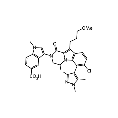 COCCCc1c2n(c3c(-c4c(C)nn(C)c4C)c(Cl)ccc13)C(C)CN(c1cn(C)c3ccc(C(=O)O)cc13)C2=O